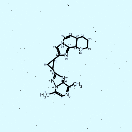 Cc1ncc(C)n2nc(C3CC3c3cn4c(n3)C3OCCCC3C=C4)nc12